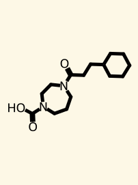 O=C(O)N1CCCN(C(=O)CCC2CCCCC2)CC1